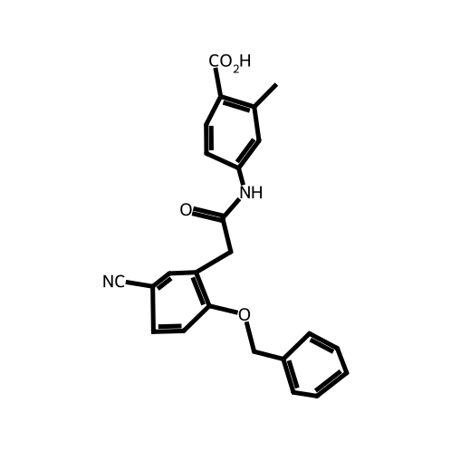 Cc1cc(NC(=O)Cc2cc(C#N)ccc2OCc2ccccc2)ccc1C(=O)O